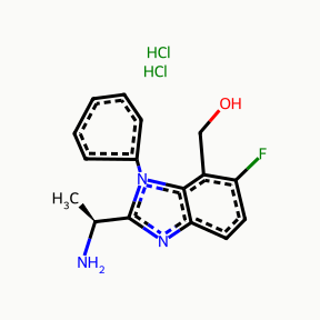 C[C@H](N)c1nc2ccc(F)c(CO)c2n1-c1ccccc1.Cl.Cl